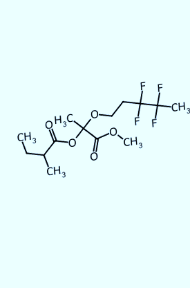 CCC(C)C(=O)OC(C)(OCCC(F)(F)C(C)(F)F)C(=O)OC